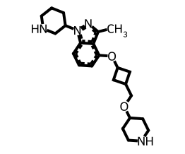 Cc1nn(C2CCCNC2)c2cccc(OC3CC(COC4CCNCC4)C3)c12